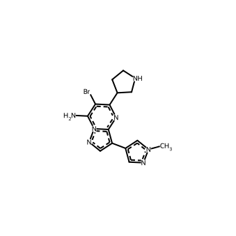 Cn1cc(-c2cnn3c(N)c(Br)c(C4CCNC4)nc23)cn1